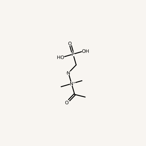 CC(=O)[N+](C)(C)[N]CP(=O)(O)O